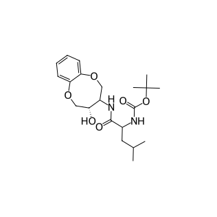 CC(C)CC(NC(=O)OC(C)(C)C)C(=O)NC1COc2ccccc2OC[C@H]1O